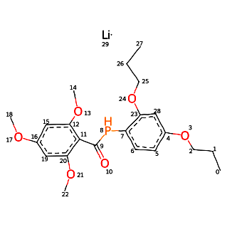 CCCOc1ccc(PC(=O)c2c(OC)cc(OC)cc2OC)c(OCCC)c1.[Li]